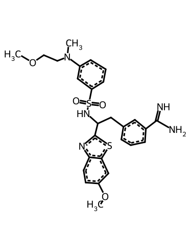 COCCN(C)c1cccc(S(=O)(=O)NC(Cc2cccc(C(=N)N)c2)c2nc3ccc(OC)cc3s2)c1